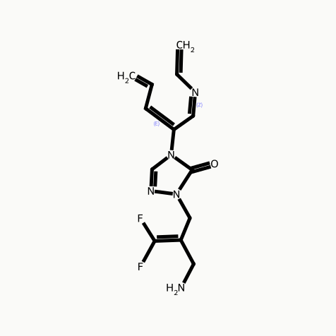 C=C/C=C(\C=N/C=C)n1cnn(CC(CN)=C(F)F)c1=O